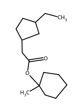 CCC1CCC(CC(=O)OC2(C)CCCCC2)C1